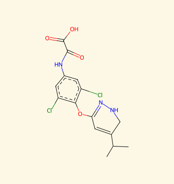 CC(C)C1=CC(Oc2c(Cl)cc(NC(=O)C(=O)O)cc2Cl)=NNC1